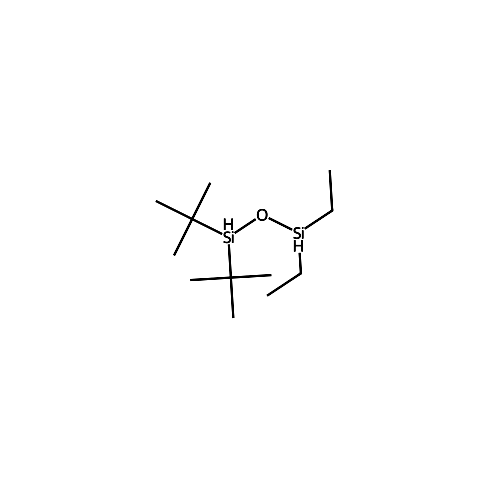 CC[SiH](CC)O[SiH](C(C)(C)C)C(C)(C)C